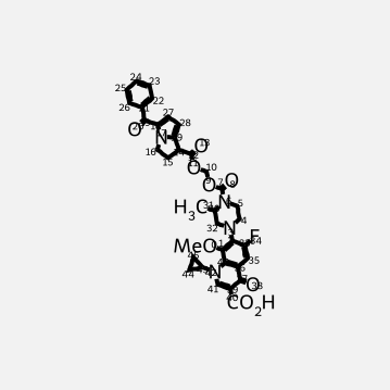 COc1c(N2CCN(C(=O)OCOC(=O)C3CCn4c(C(=O)c5ccccc5)ccc43)C(C)C2)c(F)cc2c(=O)c(C(=O)O)cn(C3CC3)c12